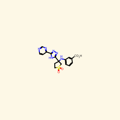 O=C(O)c1cccc(NC2(c3nnc(-c4ccncn4)[nH]3)CCS(=O)(=O)C2)c1